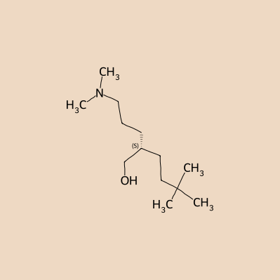 CN(C)CCC[C@@H](CO)CCC(C)(C)C